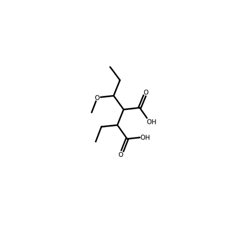 CCC(OC)C(C(=O)O)C(CC)C(=O)O